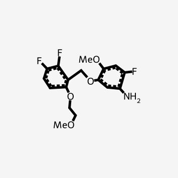 COCCOc1ccc(F)c(F)c1COc1cc(N)c(F)cc1OC